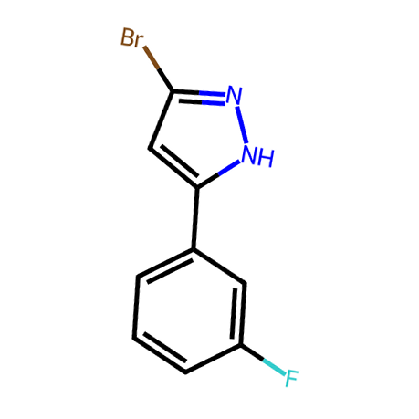 Fc1cccc(-c2cc(Br)n[nH]2)c1